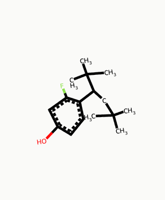 CC(C)(C)CC(c1ccc(O)cc1F)C(C)(C)C